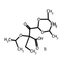 CCC(OC(C)C)(C(=O)O)C(=O)C(OC(C)C)OC(C)C.[Ti]